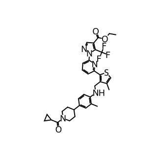 CCOC(=O)c1cnn(-c2cccc(-c3scc(C)c3CNc3ccc(C4CCN(C(=O)C5CC5)CC4)cc3C)n2)c1C(F)(F)F